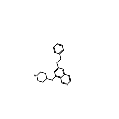 c1ccc(COc2cc(OC3CCNCC3)c3cnccc3c2)cc1